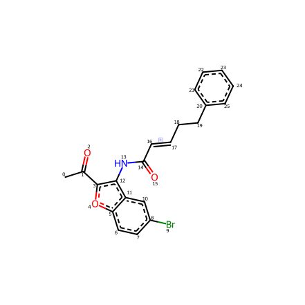 CC(=O)c1oc2ccc(Br)cc2c1NC(=O)/C=C/CCc1ccccc1